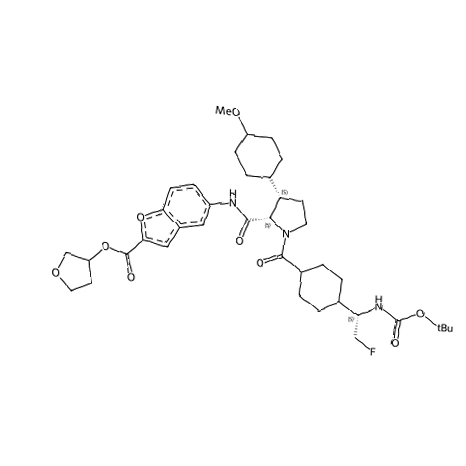 COC1CCC([C@@H]2CCN(C(=O)C3CCC([C@@H](CF)NC(=O)OC(C)(C)C)CC3)[C@@H]2C(=O)Nc2ccc3oc(C(=O)OC4CCOC4)cc3c2)CC1